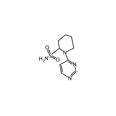 NS(=O)(=O)C1CCCCN1c1ccn[c]n1